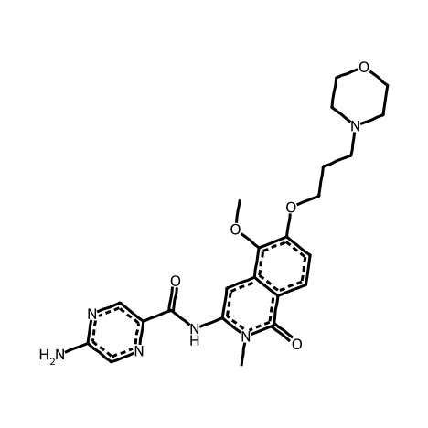 COc1c(OCCCN2CCOCC2)ccc2c(=O)n(C)c(NC(=O)c3cnc(N)cn3)cc12